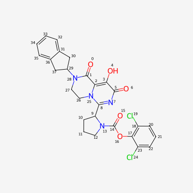 O=C1c2c(O)c(=O)nc(C3CCCN3C(=O)Oc3c(Cl)cccc3Cl)n2CCN1C1Cc2ccccc2C1